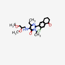 CCc1nc(-c2cc3c(cc2Cl)C(=O)CCC3)n(CC)c(=O)c1NCC(COC)OC